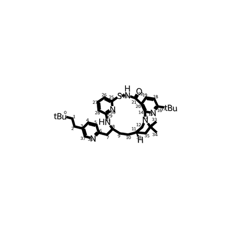 CC(C)(C)CCc1ccc(CC2CC[C@@H]3CN(c4nc(C(C)(C)C)ccc4C(=O)NSc4cccc(n4)N2)C(C)(C)C3)nc1